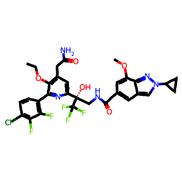 CCOc1c(CC(N)=O)cc([C@@](O)(CNC(=O)c2cc(OC)c3nn(C4CC4)cc3c2)C(F)(F)F)nc1-c1ccc(Cl)c(F)c1F